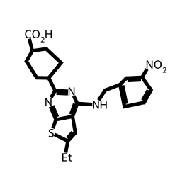 CCc1cc2c(NCc3cccc([N+](=O)[O-])c3)nc(C3CCC(C(=O)O)CC3)nc2s1